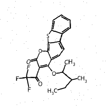 CCC(C)C(C)Oc1c(C(=O)C(F)(F)F)c(=O)oc2c1ccc1c3ccccc3sc12